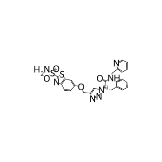 NS(=O)(=O)c1nc2ccc(OCc3cn([C@@H](Cc4ccccc4)C(=O)NCc4ccccn4)nn3)cc2s1